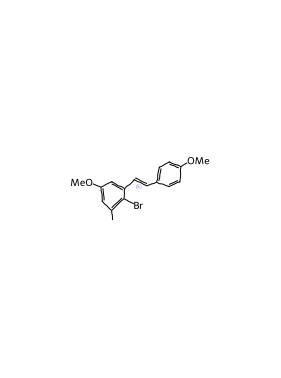 COc1ccc(/C=C/c2cc(OC)cc(C)c2Br)cc1